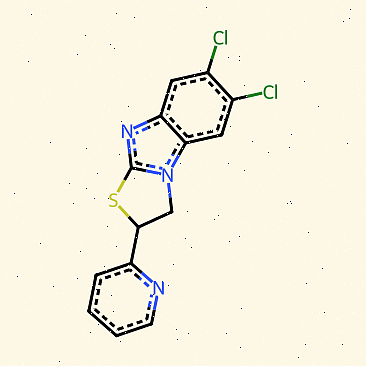 Clc1cc2nc3n(c2cc1Cl)CC(c1ccccn1)S3